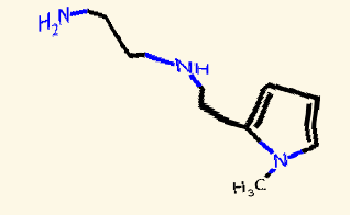 Cn1cccc1CNCCN